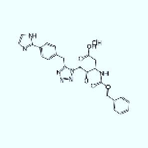 Cl.O=C(O)CC(NC(=O)OCc1ccccc1)C(=O)Cn1nnnc1Cc1ccc(-c2ncc[nH]2)cc1